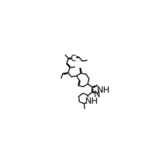 C=C1CCC(c2c[nH]nc2C2CCCC(C)N2)C/C=C/C1CC(=C\C)/C(C)=C/C(C)=C=CCC